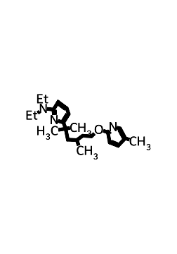 CCN(CC)c1cccc(C(C)(C)CC(C)CCOc2ccc(C)cn2)n1